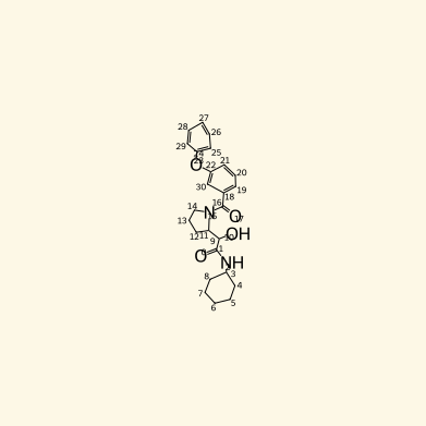 O=C(NC1CCCCC1)C(O)C1CCCN1C(=O)c1cccc(Oc2ccccc2)c1